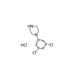 Cl.Clc1cc(Cl)cc(N2CCNCC2)c1